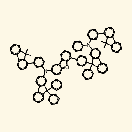 CC1(C)c2ccccc2-c2cccc(-c3cccc(N(c4ccccc4)c4ccc5c(c4)C(c4ccccc4)(c4ccc(-c6cccc7c6oc6ccc(N(c8cccc(-c9cccc%10c9C(C)(C)c9ccccc9-%10)c8)c8ccc9c(c8)C(c8ccccc8)(c8ccccc8)c8ccccc8-9)cc67)cc4)c4ccccc4-5)c3)c21